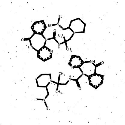 CCN(CC)CC1CCCCN1C(C)(C)CNC(=O)N1c2ccccc2C(=O)Nc2cccnc21.CCN(CC)CC1CCCCN1CC(C)(C)NC(=O)N1c2ccccc2C(=O)Nc2cccnc21